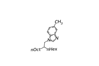 CCCCCCCCC(CCCCCC)Cn1cnc2cc(C)ccc21